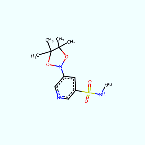 CC(C)(C)NS(=O)(=O)c1cncc(N2OC(C)(C)C(C)(C)O2)c1